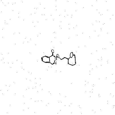 O=c1c2ccccc2cnn1OCCC1CCCCO1